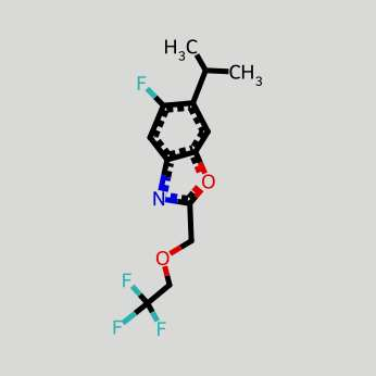 CC(C)c1cc2oc(COCC(F)(F)F)nc2cc1F